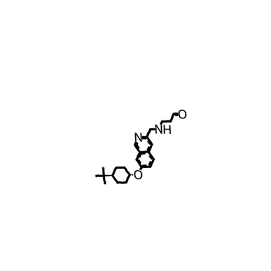 CC(C)(C)[C@H]1CC[C@H](Oc2ccc3cc(CNCCC=O)ncc3c2)CC1